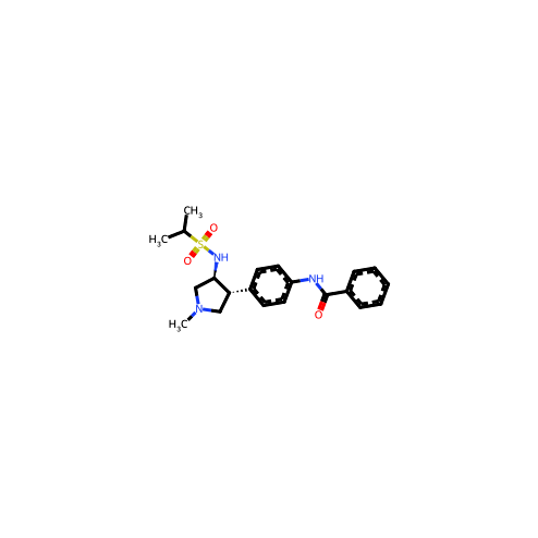 CC(C)S(=O)(=O)N[C@@H]1CN(C)C[C@H]1c1ccc(NC(=O)c2ccccc2)cc1